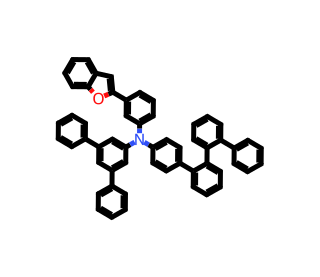 c1ccc(-c2cc(-c3ccccc3)cc(N(c3ccc(-c4ccccc4-c4ccccc4-c4ccccc4)cc3)c3cccc(-c4cc5ccccc5o4)c3)c2)cc1